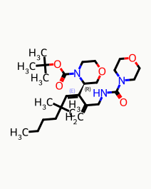 C=C(CNC(=O)N1CCOCC1)/C(=C\C(C)(C)CCCC)[C@@H]1COCCN1C(=O)OC(C)(C)C